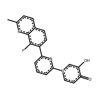 Cc1ccc2ccc(-c3cccc(-n4ccc(=O)c(O)c4)n3)c(F)c2n1